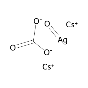 O=C([O-])[O-].[Cs+].[Cs+].[O]=[Ag]